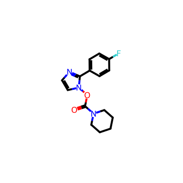 O=C(On1ccnc1-c1ccc(F)cc1)N1CCCCC1